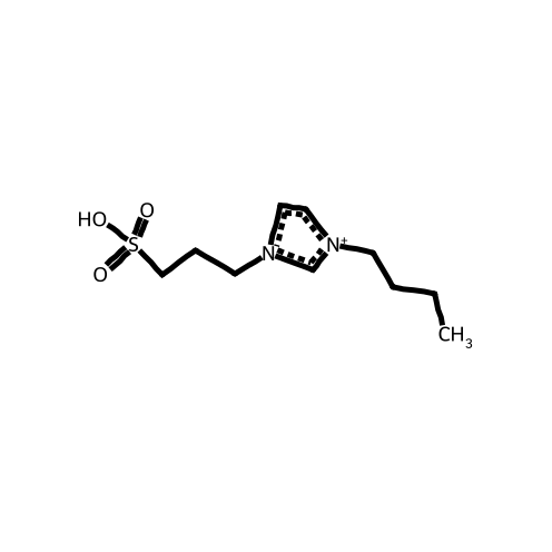 CCCC[n+]1ccn(CCCS(=O)(=O)O)c1